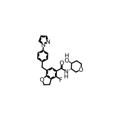 O=C(N[C@H]1COCC[C@@H]1O)c1cc(Cc2ccc(-n3cccn3)cc2)c2c(c1F)CCO2